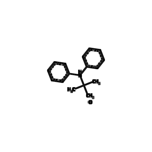 CC(C)(C)[SiH](c1ccccc1)c1ccccc1.[O]